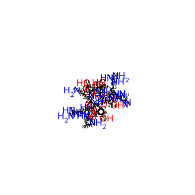 CN[C@@H](CC1(C)N=N1)C(=O)N[C@@H](CCCNC(=N)N)C(=O)N[C@@H](CO)C(=O)N[C@@H](C)C(=O)N[C@H](C(=O)N[C@@H](CC(=O)O)C(=O)N[C@@H](CCCCN)C(=O)N[C@@H](Cc1ccc(O)cc1)C(=O)N[C@@H](CCCNC(=N)N)C(=O)N[C@@H](CC(C)C)C(N)=O)[C@@H](C)O